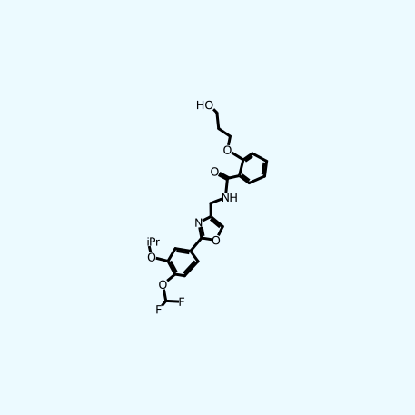 CC(C)Oc1cc(-c2nc(CNC(=O)c3ccccc3OCCCO)co2)ccc1OC(F)F